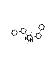 Cc1nc(-c2cccc(-c3ccccc3)c2)c(C)c(-c2cccc(-c3ccccc3)c2)n1